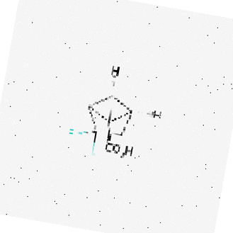 O=C(O)[C@@]12C3[C@H]1[C@H]2CC3(F)F